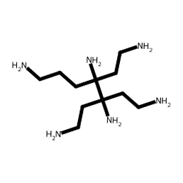 NCCCC(N)(CCN)C(N)(CCN)CCN